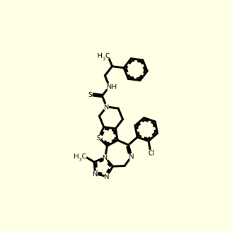 Cc1nnc2n1-c1sc3c(c1C(c1ccccc1Cl)=NC2)CCN(C(=S)NCC(C)c1ccccc1)C3